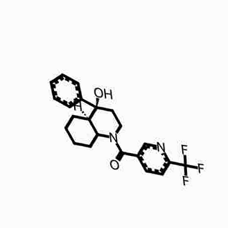 O=C(c1ccc(C(F)(F)F)nc1)N1CC[C@@](O)(c2ccccc2)[C@@H]2CCCCC21